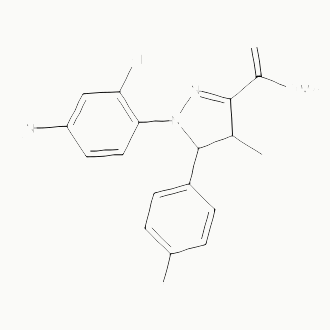 COC(=O)C1=NN(c2ccc(N)cc2Cl)C(c2ccc(Cl)cc2)C1C